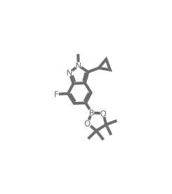 Cn1nc2c(F)cc(B3OC(C)(C)C(C)(C)O3)cc2c1C1CC1